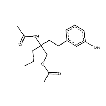 CCCC(CCc1cccc(O)c1)(COC(C)=O)NC(C)=O